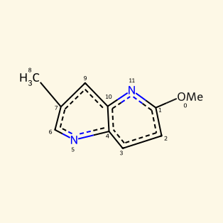 COc1ccc2ncc(C)cc2n1